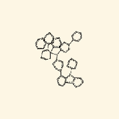 C1=CCC(c2ccccc2-c2ccccc2)(N(c2ccc(-c3ccccc3)cc2)c2ccc(-c3cccc4c5ccccc5n(-c5ccccc5)c34)cc2)C(c2ccccc2)=C1